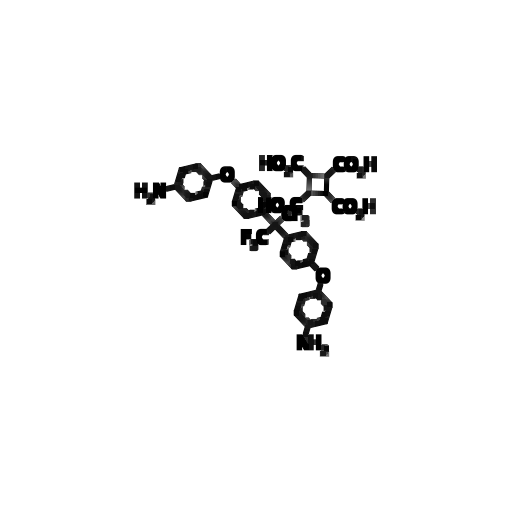 Nc1ccc(Oc2ccc(C(c3ccc(Oc4ccc(N)cc4)cc3)(C(F)(F)F)C(F)(F)F)cc2)cc1.O=C(O)C1C(C(=O)O)C(C(=O)O)C1C(=O)O